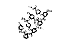 CSc1ccc(C(=O)Nc2cccnc2C(=O)Nc2ccc(Cl)cn2)c(OC2CCN(C(=O)OC(C)(C)C)CC2)c1.C[S+]([O-])c1ccc(C(=O)Nc2cccnc2C(=O)Nc2ccc(Cl)cn2)c(OC2CCN(C(=O)OC(C)(C)C)CC2)c1